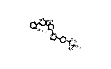 CC1c2c([nH]c3nnc(-c4ccccc4O)cc23)CCN1c1nccc(C2CCN(C(=O)OC(C)(C)C)CC2)n1